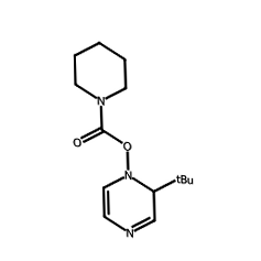 CC(C)(C)C1C=NC=CN1OC(=O)N1CCCCC1